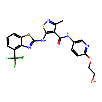 Cc1nsc(Nc2nc3c(C(F)(F)F)cccc3s2)c1C(=O)Nc1ccc(OCCO)nc1